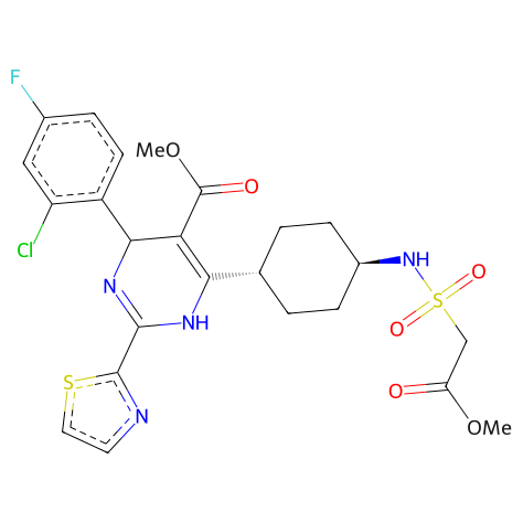 COC(=O)CS(=O)(=O)N[C@H]1CC[C@H](C2=C(C(=O)OC)C(c3ccc(F)cc3Cl)N=C(c3nccs3)N2)CC1